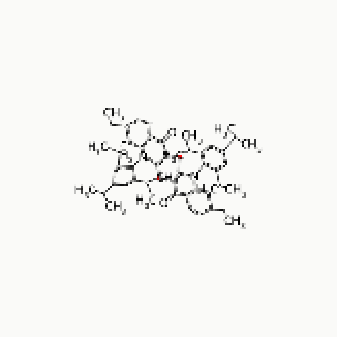 CCc1ccc2c(=O)c3cc4c(cc3n(-c3c(C(C)C)cc(C(C)C)cc3C(C)C)c2c1)c(=O)c1ccc(CC)cc1n4-c1c(C(C)C)cc(C(C)C)cc1C(C)C